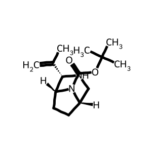 C=C(C)[C@@H]1NC[C@@H]2CC[C@H]1N2C(=O)OC(C)(C)C